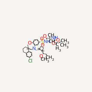 C=CC(OC)[C@@H]1CC[C@H]1CN1C[C@@]2(CCCc3cc(Cl)ccc32)COc2ccc(S(=O)(=O)NC(=O)C(C)(C)NC(=O)OC(C)(C)C)cc21